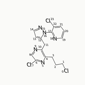 ClCCCc1nc(Cl)cnc1Cc1ccnn1-c1ncccc1Cl